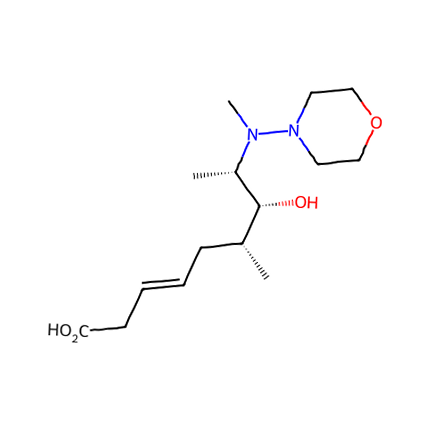 C[C@H](C/C=C/CC(=O)O)[C@@H](O)[C@H](C)N(C)N1CCOCC1